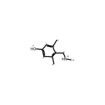 Cc1cc(O)cc(C)c1CNI